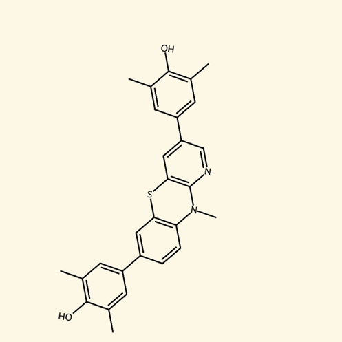 Cc1cc(-c2ccc3c(c2)Sc2cc(-c4cc(C)c(O)c(C)c4)cnc2N3C)cc(C)c1O